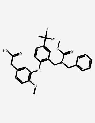 COC(=O)N(Cc1ccccc1)Cc1cc(C(F)(F)F)ccc1Oc1cc(CC(=O)O)ccc1OC